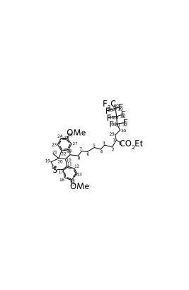 CCOC(=O)C(CCCCCCCCC1c2ccc(OC)cc2SCC1(C)c1ccc(OC)cc1)CCC(F)(F)C(F)(F)C(F)(F)C(F)(F)F